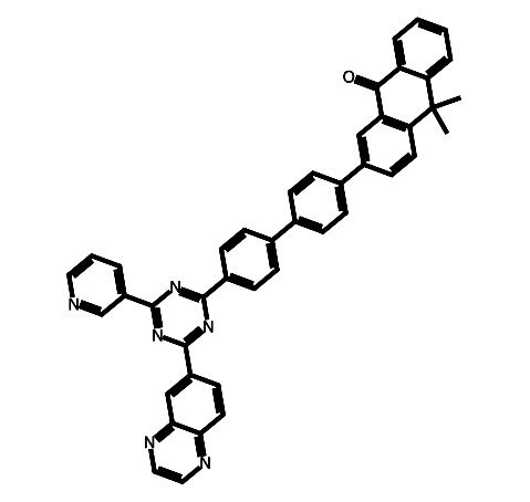 CC1(C)c2ccccc2C(=O)c2cc(-c3ccc(-c4ccc(-c5nc(-c6cccnc6)nc(-c6ccc7nccnc7c6)n5)cc4)cc3)ccc21